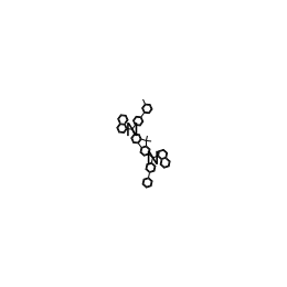 Cc1cccc(-c2ccc(N(c3ccc4c(c3)C(C)(C)c3cc(N(c5ccc(-c6ccccc6)cc5)c5cccc6ccccc56)ccc3-4)c3cccc4ccccc34)cc2)c1